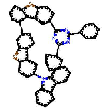 c1ccc(-c2nc(-c3ccccc3)nc(-c3ccc4sc5cccc(-c6ccc7c(c6)sc6ccc(-n8c9ccccc9c9ccccc98)cc67)c5c4c3)n2)cc1